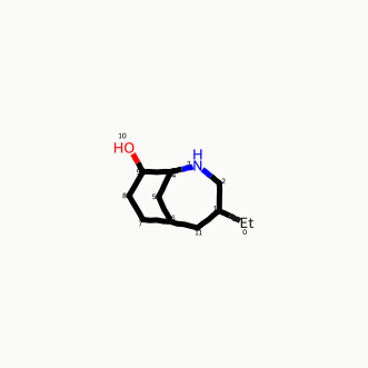 CCC1CNC2CC(CCC2O)C1